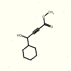 COC(=O)C#CC(O)C1CCCCC1